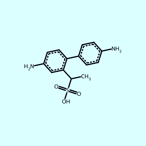 CC(c1cc(N)ccc1-c1ccc(N)cc1)S(=O)(=O)O